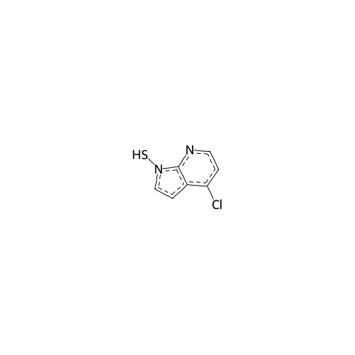 Sn1ccc2c(Cl)ccnc21